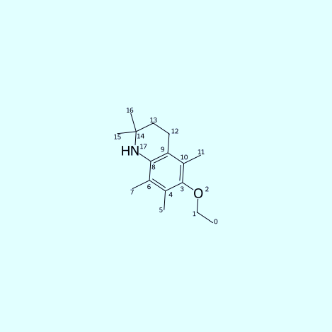 CCOc1c(C)c(C)c2c(c1C)CCC(C)(C)N2